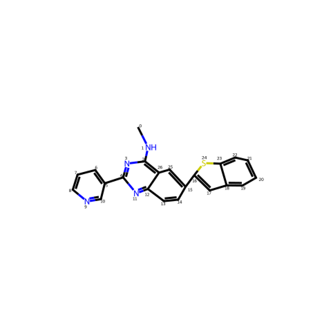 CNc1nc(-c2cccnc2)nc2ccc(-c3cc4ccccc4s3)cc12